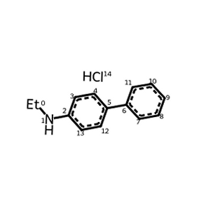 CCNc1ccc(-c2ccccc2)cc1.Cl